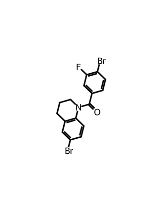 O=C(c1ccc(Br)c(F)c1)N1CCCc2cc(Br)ccc21